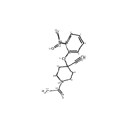 C#CC1(Oc2ccccc2[N+](=O)[O-])CCN(C(C)=O)CC1